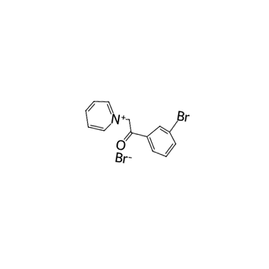 O=C(C[n+]1ccccc1)c1cccc(Br)c1.[Br-]